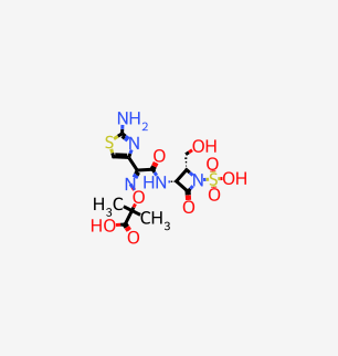 CC(C)(O/N=C(\C(=O)N[C@H]1C(=O)N(S(=O)(=O)O)[C@H]1CO)c1csc(N)n1)C(=O)O